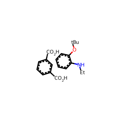 CCNc1ccccc1OC(C)(C)C.O=C(O)c1cccc(C(=O)O)c1